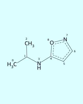 CC(C)Nc1ccno1